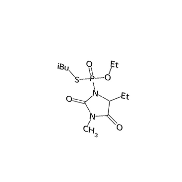 CCOP(=O)(SC(C)CC)N1C(=O)N(C)C(=O)C1CC